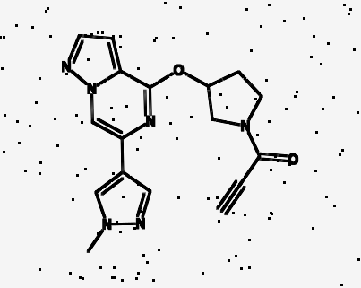 C#CC(=O)N1CCC(Oc2nc(-c3cnn(C)c3)cn3nccc23)C1